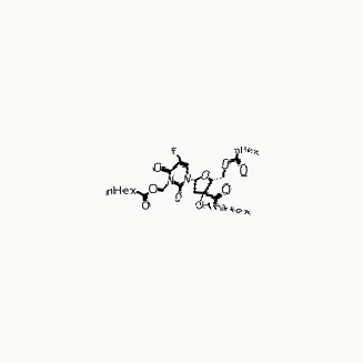 CCCCCCC(=O)OC[C@H]1O[C@@H](n2cc(F)c(=O)n(COC(=O)CCCCCC)c2=O)C[C@@]1(O)C(=O)CCCCCC